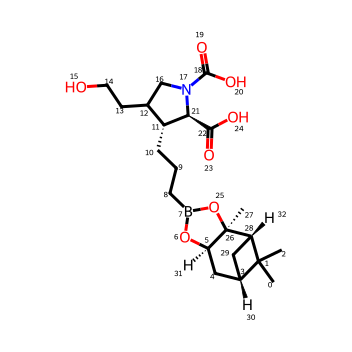 CC1(C)[C@@H]2C[C@H]3OB(CCC[C@@H]4C(CCO)CN(C(=O)O)[C@H]4C(=O)O)O[C@@]3(C)[C@H]1C2